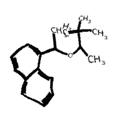 CC(OC(C)C(C)(C)C)c1cccc2ccccc12